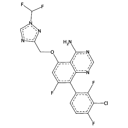 Nc1ncnc2c(-c3ccc(F)c(Cl)c3F)c(F)cc(OCc3ncn(C(F)F)n3)c12